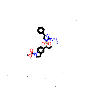 C=CC(c1ccc2c(c1)CCN2C(=O)OC)S(=O)(=O)N1CC(c2ccccc2)N=C1N